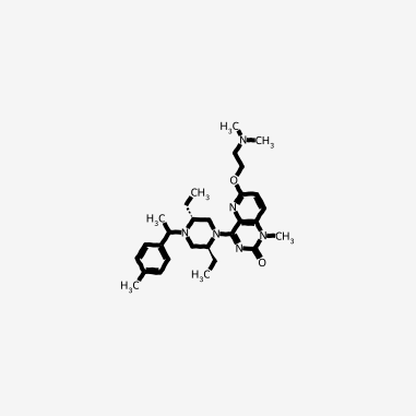 CC[C@H]1CN(C(C)c2ccc(C)cc2)[C@H](CC)CN1c1nc(=O)n(C)c2ccc(OCCN(C)C)nc12